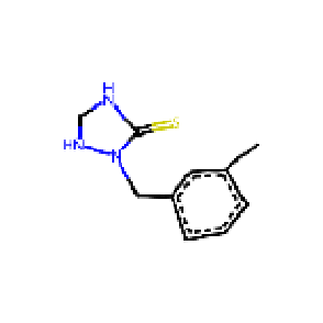 Cc1cccc(CN2NCNC2=S)c1